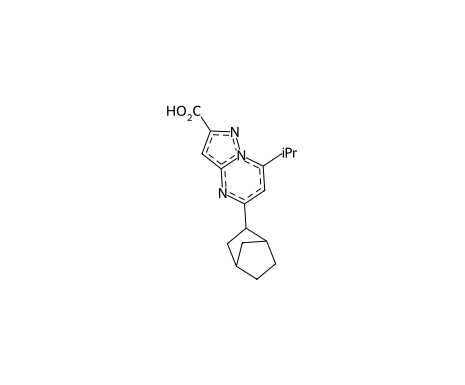 CC(C)c1cc(C2CC3CCC2C3)nc2cc(C(=O)O)nn12